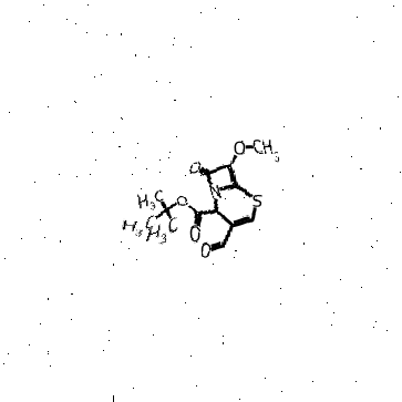 CO[C@@H]1C(=O)N2C(C(=O)OC(C)(C)C)C(C=O)=CSC12